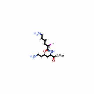 COC(=O)C(CCCCN)NC(=O)C(I)CCCCN